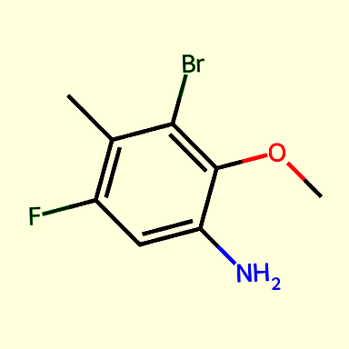 COc1c(N)cc(F)c(C)c1Br